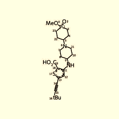 COP1(=O)CCC(N2CCC(Nc3cc(C#CC(C)(C)C)sc3C(=O)O)CC2)CC1